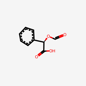 O=CO[C@@H](C(=O)O)c1ccccc1